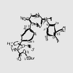 CC(C)(C)OC(=O)NC(C)(C)c1ccc(-c2nc(Nc3ccc(F)c(Cl)c3)ncc2C#N)cc1